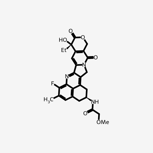 CC[C@@]1(O)C(=O)OCc2c1cc1n(c2=O)Cc2c-1nc1c(F)c(C)cc3c1c2C[C@@H](NC(=O)COC)C3